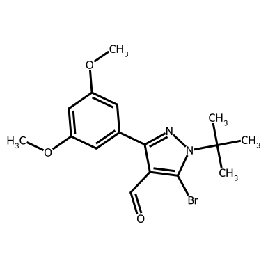 COc1cc(OC)cc(-c2nn(C(C)(C)C)c(Br)c2C=O)c1